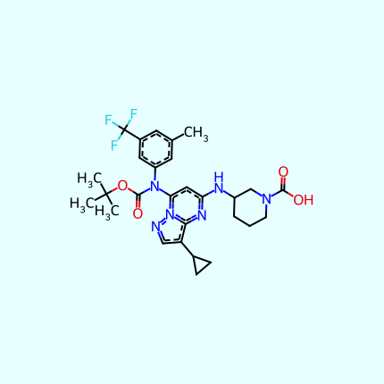 Cc1cc(N(C(=O)OC(C)(C)C)c2cc(NC3CCCN(C(=O)O)C3)nc3c(C4CC4)cnn23)cc(C(F)(F)F)c1